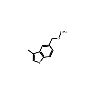 COOCc1ccc2scc(C)c2c1